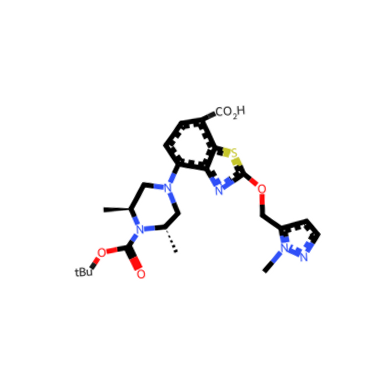 C[C@H]1CN(c2ccc(C(=O)O)c3sc(OCc4ccnn4C)nc23)C[C@H](C)N1C(=O)OC(C)(C)C